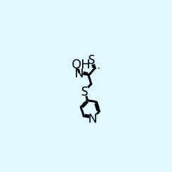 ON=C([C]=S)CSc1ccncc1